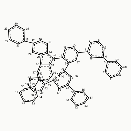 c1ccc(-c2cccc(-c3ccc(-n4c5ccc(-c6ccccc6)cc5c5cc(-c6ccccc6)ccc54)c(-c4nc(-c5ccccc5)nc(-c5ccccc5)n4)c3)c2)cc1